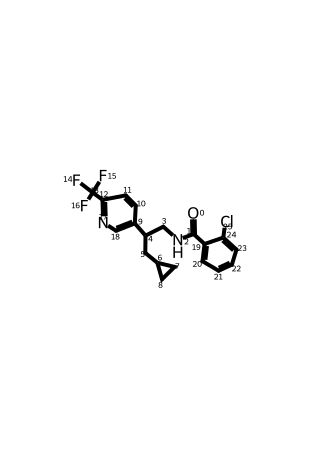 O=C(NCC(CC1CC1)c1ccc(C(F)(F)F)nc1)c1ccccc1Cl